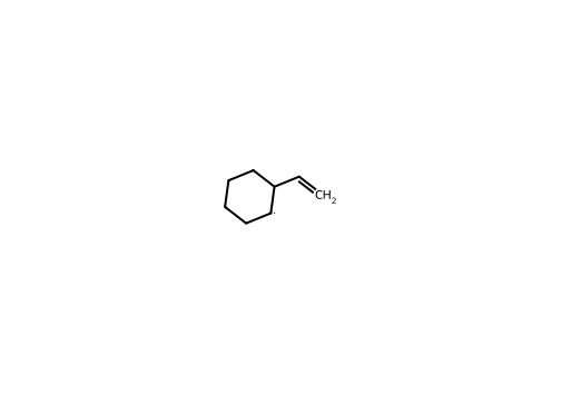 C=CC1[CH]CCCC1